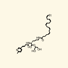 CC/C=C\C/C=C\C/C=C\C/C=C\C/C=C\CCCC(=O)NCCCC[C@H](NC(=O)C/C=C/c1ccc(C)nc1)C(=O)OC(CO)CO